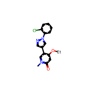 CCOc1cc(=O)n(C)cc1-c1cnn(-c2ccccc2Cl)c1